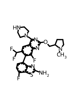 CN1CCCC1COc1nc(N2CCNCC2)c2cc(C(F)F)c(-c3ccc(F)c4sc(N)nc34)c(F)c2n1